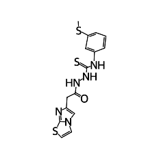 CSc1cccc(NC(=S)NNC(=O)Cc2cn3ccsc3n2)c1